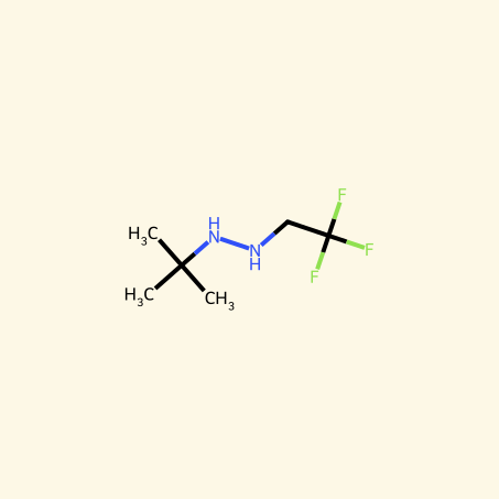 CC(C)(C)NNCC(F)(F)F